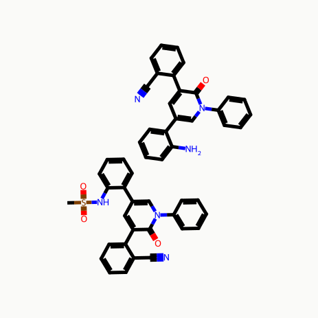 CS(=O)(=O)Nc1ccccc1-c1cc(-c2ccccc2C#N)c(=O)n(-c2ccccc2)c1.N#Cc1ccccc1-c1cc(-c2ccccc2N)cn(-c2ccccc2)c1=O